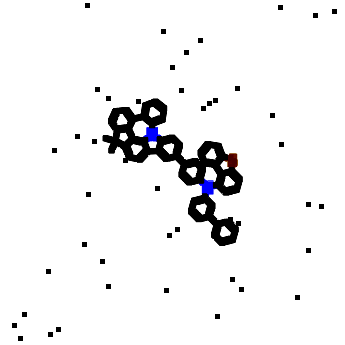 CC1(C)c2cccc3c2-c2c1ccc1c4cc(-c5ccc(N(c6cccc(-c7ccccc7)c6)c6cccc7sc8ccccc8c67)cc5)ccc4n(c21)-c1ccccc1-3